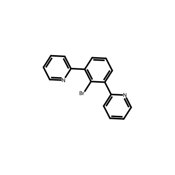 Brc1c(-c2ccccn2)cccc1-c1ccccn1